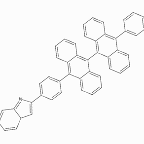 C1=CC2=NC(c3ccc(-c4c5ccccc5c(-c5c6ccccc6c(-c6ccccc6)c6ccccc56)c5ccccc45)cc3)=CC2C=C1